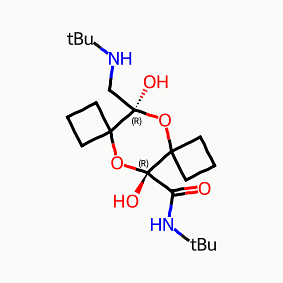 CC(C)(C)NC[C@@]1(O)OC2(CCC2)[C@](O)(C(=O)NC(C)(C)C)OC12CCC2